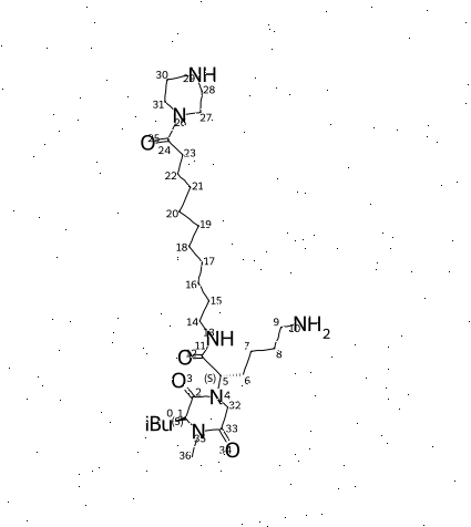 CC[C@H](C)C1C(=O)N([C@@H](CCCCN)C(=O)NCCCCCCCCCCC(=O)N2CCNCC2)CC(=O)N1C